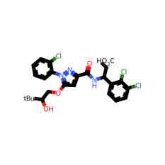 CC(C)(C)C(O)COc1cc(C(=O)NC(CC(=O)O)c2cccc(Cl)c2Cl)nn1-c1ccccc1Cl